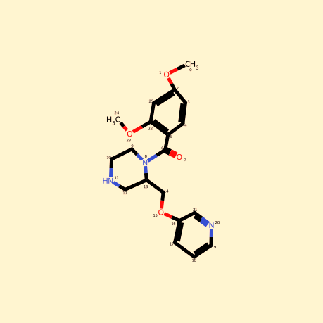 COc1ccc(C(=O)N2CCNCC2COc2cccnc2)c(OC)c1